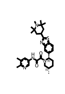 Cc1cc(NC(=O)C(=O)N2C[C@@H](C)CC[C@@H]2c2ccc3sc(C4CC(C)(C)N(C)C(C)(C)C4)nc3c2)cnc1C